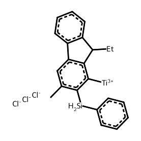 CCC1c2ccccc2-c2cc(C)c([SiH2]c3ccccc3)[c]([Ti+3])c21.[Cl-].[Cl-].[Cl-]